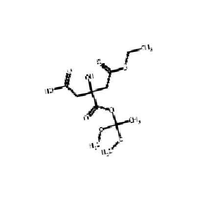 CCOC(=O)CC(O)(CC(=O)O)C(=O)OC(C)(OC)OC